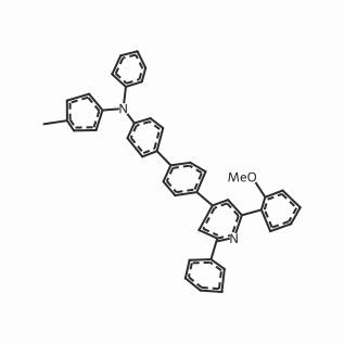 COc1ccccc1-c1cc(-c2ccc(-c3ccc(N(c4ccccc4)c4ccc(C)cc4)cc3)cc2)cc(-c2ccccc2)n1